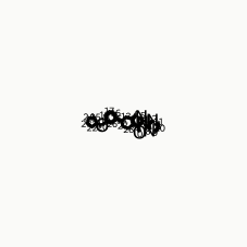 O=c1c2c(cnn1-c1ncccn1)CC(c1cccc(OC3CCCC3)c1)CC2